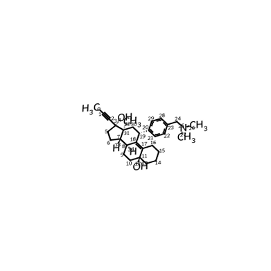 CC#C[C@]1(O)CC[C@H]2[C@@H]3CC[C@@]4(O)CCCCC4=C3[C@@H](c3ccc(CN(C)C)cc3)C[C@@]21C